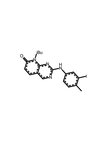 CCC(C)n1c(=O)ccc2cnc(Nc3ccc(C)c(I)c3)nc21